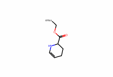 CCCCCCCOC(=O)C1CCC=CN1